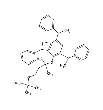 CC(c1ccccc1)c1cc(C(C)c2ccccc2)c(OC(C)(C)CCOC(C)(C)S(=O)(=O)O)c2c1CC2c1ccccc1